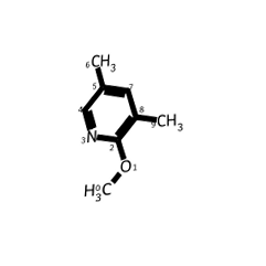 COc1ncc(C)cc1C